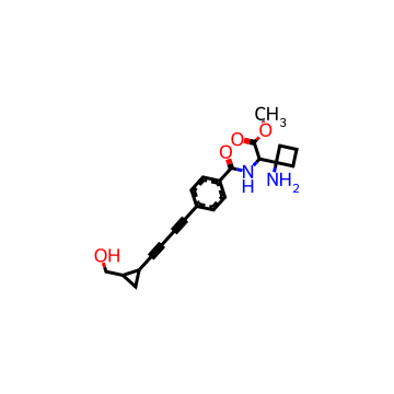 COC(=O)C(NC(=O)c1ccc(C#CC#CC2CC2CO)cc1)C1(N)CCC1